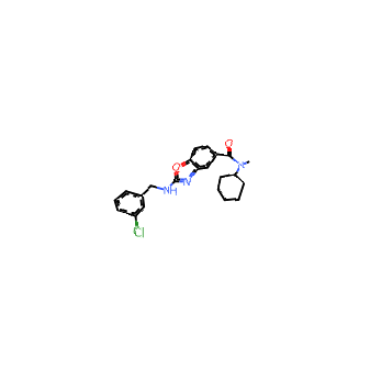 CN(C(=O)c1ccc2oc(NCc3cccc(Cl)c3)nc2c1)C1CCCCC1